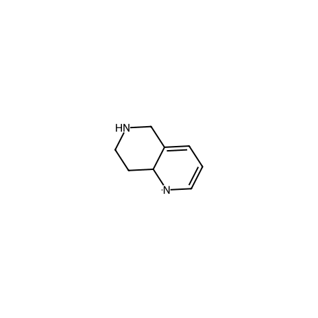 C1=C[N]C2CCNCC2=C1